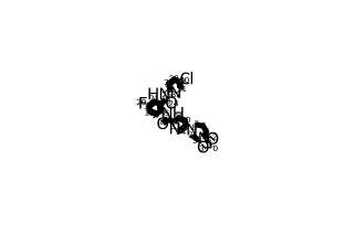 CS(=O)(=O)N1CCCN(c2ccc(C(=O)Nc3ccc(F)cc3C(=O)Nc3ccc(Cl)cn3)nc2)CC1